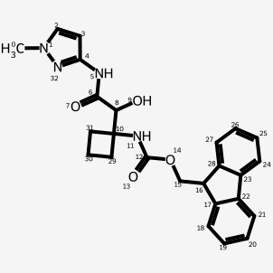 Cn1ccc(NC(=O)C(O)C2(NC(=O)OCC3c4ccccc4-c4ccccc43)CCC2)n1